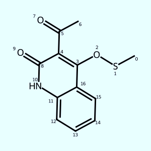 CSOc1c(C(C)=O)c(=O)[nH]c2ccccc12